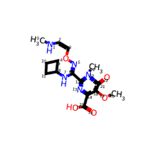 CN/C=C\O/N=C(\NC1CCC1)c1nc(C(=O)O)c(OC)c(=O)n1C